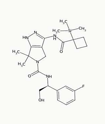 CC1(C)c2[nH]nc(NC(=O)C3([Si](C)(C)C)CCC3)c2CN1C(=O)N[C@H](CO)c1cccc(F)c1